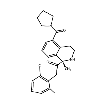 C[C@]1(C(=O)Cc2c(Cl)cccc2Cl)NCCc2c(C(=O)N3CCCC3)cccc21